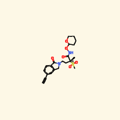 C#Cc1ccc2c(c1)CN(CC[C@](C)(C(=O)NOC1CCCCO1)S(C)(=O)=O)C2=O